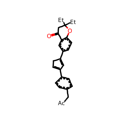 CCC1(CC)CC(=O)c2cc(C3=CC(c4ccc(CC(C)=O)cc4)=CC3)ccc2O1